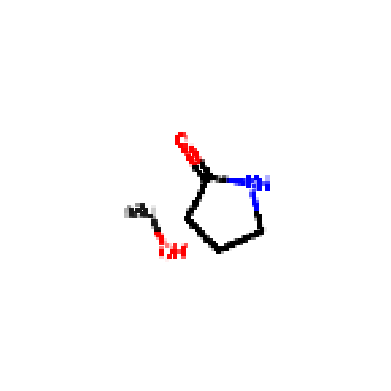 CCCCO.O=C1CCCN1